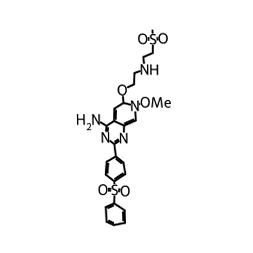 CON1C=c2nc(-c3ccc(S(=O)(=O)c4ccccc4)cc3)nc(N)c2=CC1OCCNCCS(C)(=O)=O